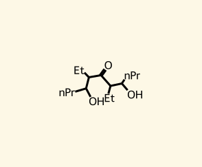 CCCC(O)C(CC)C(=O)C(CC)C(O)CCC